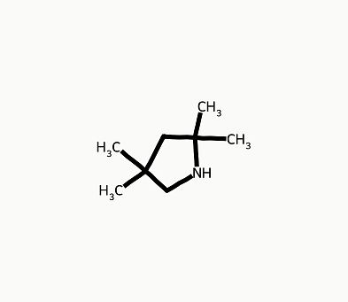 CC1(C)CNC(C)(C)C1